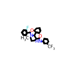 Cc1cccc(F)c1C(=O)N1CCCC(C(=O)NC2=CC(C(F)(F)F)CC=C2)C1C1=CC=CCC1